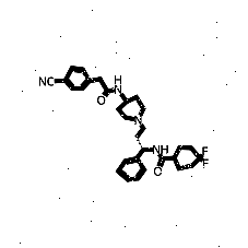 N#Cc1ccc(CC(=O)NC2CCN(CC[C@H](NC(=O)C3CCC(F)(F)CC3)c3ccccc3)CC2)cc1